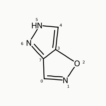 c1noc2c[nH]nc12